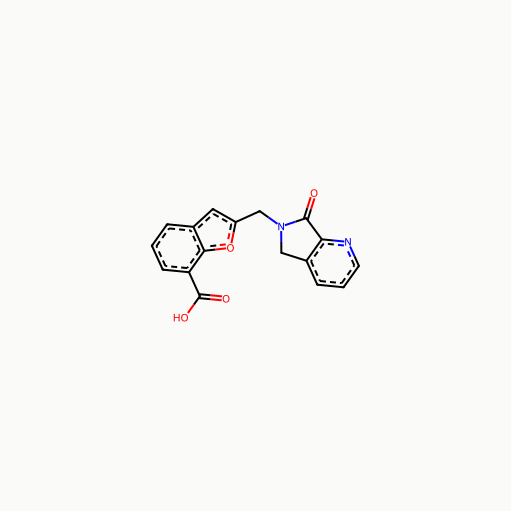 O=C(O)c1cccc2cc(CN3Cc4cccnc4C3=O)oc12